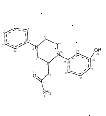 NC(=O)CC1CN(c2ccccc2)CCN1c1cccc(O)c1